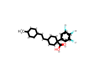 CC1CCC(CCC2CCC(C(=O)O)(c3cc(F)c(F)c(F)c3)CC2)CC1